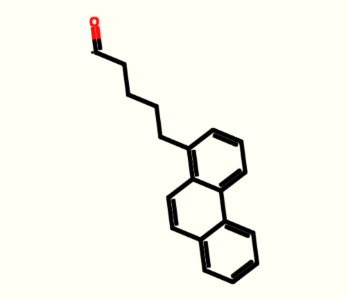 O=[C]CCCCc1cccc2c1ccc1ccccc12